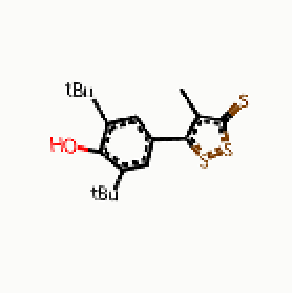 Cc1c(-c2cc(C(C)(C)C)c(O)c(C(C)(C)C)c2)ssc1=S